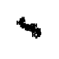 COc1ncc(-c2cc(O)c(-c3ccc(N4CC[C@@H](NC5CCC5)C4)nn3)cc2F)s1